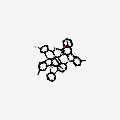 Cc1ccc2c(c1)c1cc(C)ccc1n2-c1ccc(-c2ccccc2C#N)cc1-c1nc(-c2ccccc2)nc(-c2ccc(C#N)cc2-n2c3ccc(C)cc3c3cc(C)ccc32)n1